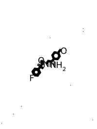 CC(C)(C(=O)NCC(N)C1CCC(C=O)CC1)c1ccc(F)cc1